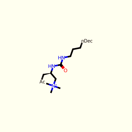 CCCCCCCCCCCCCNC(=O)N[C@H](CC(C)=O)C[N+](C)(C)C